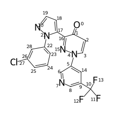 O=c1ccn(-c2cncc(C(F)(F)F)c2)nc1-c1ccnn1-c1cccc(Cl)c1